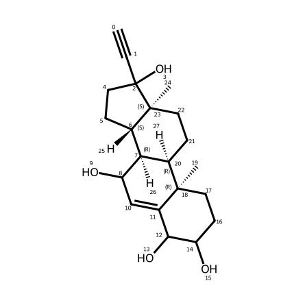 C#CC1(O)CC[C@H]2[C@@H]3C(O)C=C4C(O)C(O)CC[C@]4(C)[C@@H]3CC[C@@]21C